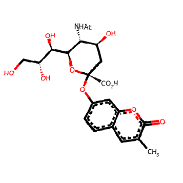 CC(=O)N[C@H]1[C@H]([C@H](O)[C@H](O)CO)O[C@](Oc2ccc3cc(C)c(=O)oc3c2)(C(=O)O)C[C@@H]1O